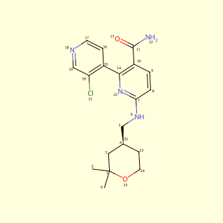 CC1(C)C[C@@H](CNc2ccc(C(N)=O)c(-c3c[c]ncc3Cl)n2)CCO1